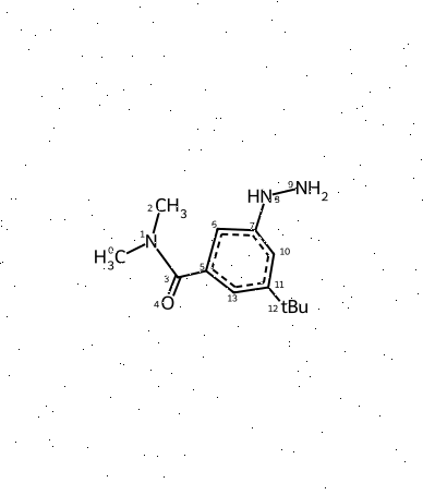 CN(C)C(=O)c1cc(NN)cc(C(C)(C)C)c1